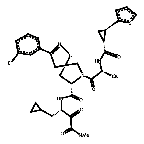 CNC(=O)C(=O)[C@H](CC1CC1)NC(=O)[C@@H]1C[C@]2(CC(c3cccc(Cl)c3)=NO2)CN1C(=O)[C@@H](NC(=O)[C@@H]1C[C@H]1c1cccs1)C(C)(C)C